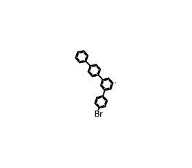 Brc1ccc(-c2c[c]cc(-c3ccc(-c4ccccc4)cc3)c2)cc1